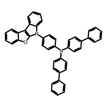 c1ccc(-c2ccc(N(c3ccc(-c4ccccc4)cc3)c3ccc(-n4c5ccccc5c5c6ccccc6oc54)cc3)cc2)cc1